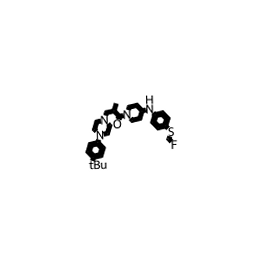 CC(CN1CCN(c2ccc(C(C)(C)C)cc2)CC1)C(=O)N1CCC(Nc2ccc(SCF)cc2)CC1